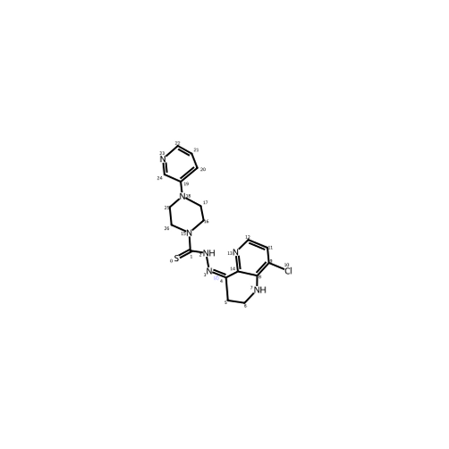 S=C(N/N=C1/CCNc2c(Cl)ccnc21)N1CCN(c2cccnc2)CC1